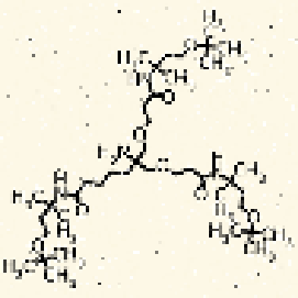 CC(C)(CCOC(C)(C)C)NC(=O)CCCCC(N)(COCCC(=O)NC(C)(C)CCOC(C)(C)C)COCCC(=O)NC(C)(C)CCOC(C)(C)C